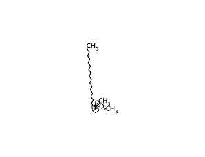 CCCCCCCCCCCCCCCCCCN1CCC[Si]1(OC)OCC